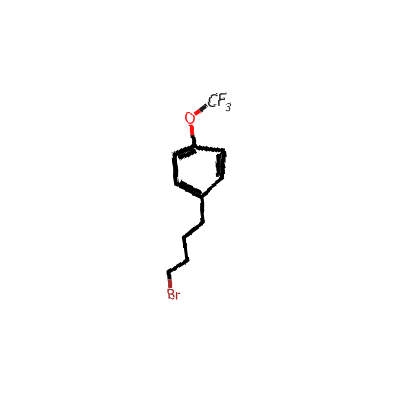 FC(F)(F)Oc1ccc(CCCCBr)cc1